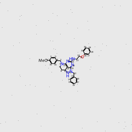 COc1ccc(CN2CCC3NN(Cc4ccccc4)c4nc(NCCOc5ccccc5)nc2c43)cc1